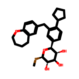 CS[C@H]1O[C@@H](c2ccc(C3CCCC3)c(Cc3ccc4c(c3)CCCCO4)c2)[C@H](O)[C@@H](O)[C@@H]1O